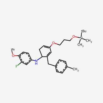 Cc1ccc(CC2=CC(OCCCO[Si](C)(C)C(C)(C)C)=CCC2Nc2ccc(OC(C)C)c(F)c2)cc1